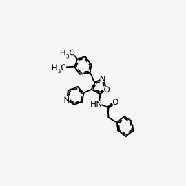 Cc1ccc(-c2noc(NC(=O)Cc3ccccc3)c2-c2ccncc2)cc1C